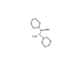 N=C(c1ccccc1)[C@@H](N)c1ccccc1